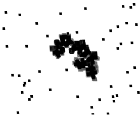 CC(C)(C)NS(=O)(=O)c1cccc(NC(=O)c2ncc(NC(C)(CO[Si](C)(C)C(C)(C)C)CO[Si](C)(C)C(C)(C)C)nc2Cl)c1